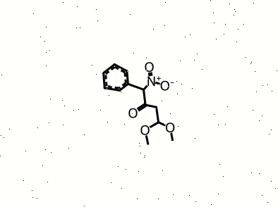 COC(CC(=O)C(c1ccccc1)[N+](=O)[O-])OC